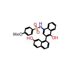 COc1ccc(S(=O)(=O)Nc2cc(-c3cccc4ccc(O)cc34)c(O)c3ccccc23)cc1